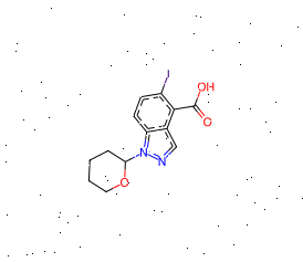 O=C(O)c1c(I)ccc2c1cnn2C1CCCCO1